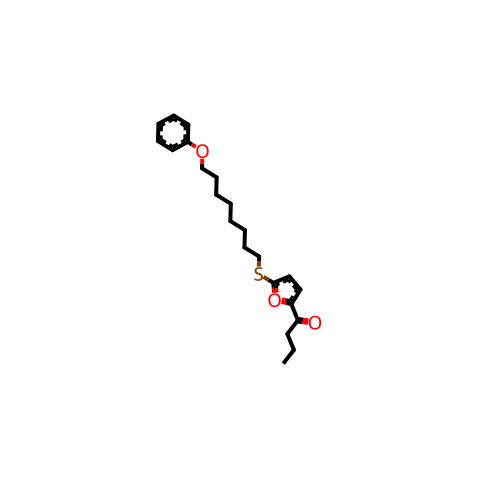 CCCC(=O)c1ccc(SCCCCCCCCOc2ccccc2)o1